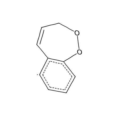 [c]1cccc2c1C=CCOO2